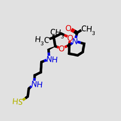 CC(=O)N1CCCCC12OCC(C)(C)[C@H](CNCCCNCCS)O2